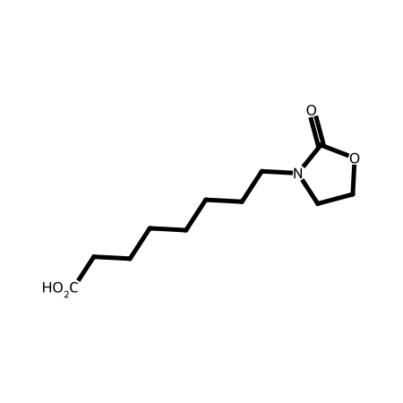 O=C(O)CCCCCCCN1CCOC1=O